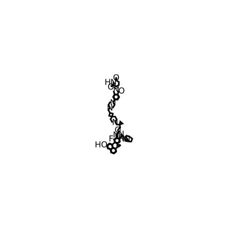 C#Cc1cccc2cc(O)cc(-c3c(F)cc4c(N5CC6CCC(C5)N6)nc(OCC5(CN6CCC7(CC6)CC(CN6CCN(c8ccc9c(c8)CN([C@H]8CCC(=O)NC8=O)C9=O)CC6)C7)CC5)nc4c3F)c12